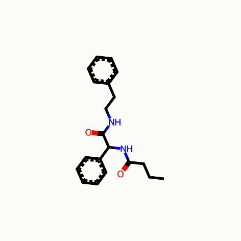 CCCC(=O)NC(C(=O)NCCc1ccccc1)c1ccccc1